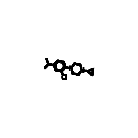 CC(C)c1ccc(N2CCN(C3CC3)CC2)c(Cl)c1